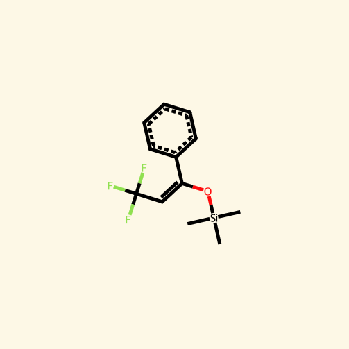 C[Si](C)(C)OC(=CC(F)(F)F)c1ccccc1